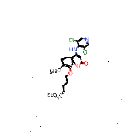 CCOC(=O)CCCCOc1c(OC)ccc2c(Nc3c(Cl)cncc3Cl)cc(=O)oc12